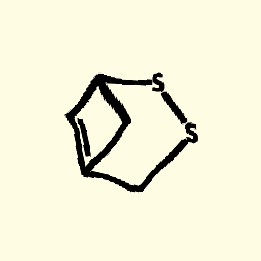 C1=C2CSSC1C2